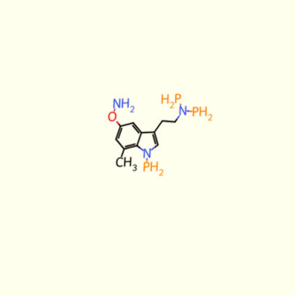 Cc1cc(ON)cc2c(CCN(P)P)cn(P)c12